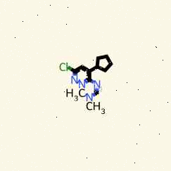 CN(C)/C=N\c1nnc(Cl)cc1C1CCCC1